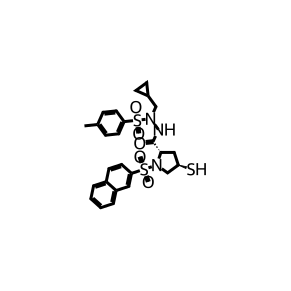 Cc1ccc(S(=O)(=O)N(CC2CC2)NC(=O)[C@@H]2C[C@@H](S)CN2S(=O)(=O)c2ccc3ccccc3c2)cc1